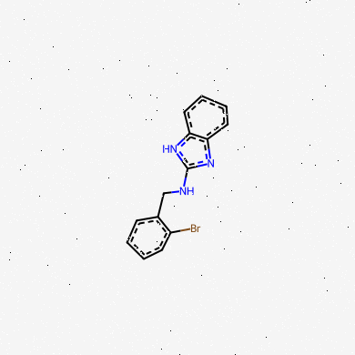 Brc1ccccc1CNc1nc2ccccc2[nH]1